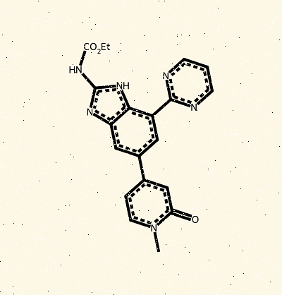 CCOC(=O)Nc1nc2cc(-c3ccn(C)c(=O)c3)cc(-c3ncccn3)c2[nH]1